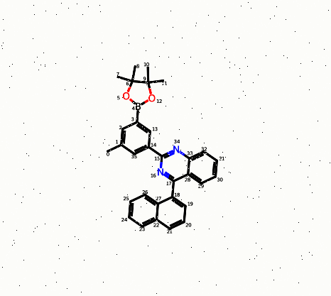 Cc1cc(B2OC(C)(C)C(C)(C)O2)cc(-c2nc(-c3cccc4ccccc34)c3ccccc3n2)c1